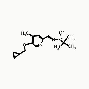 Cc1cc(C=N[S@+]([O-])C(C)(C)C)ncc1OCC1CC1